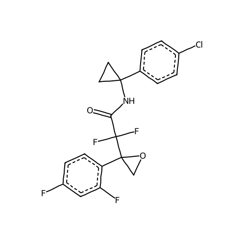 O=C(NC1(c2ccc(Cl)cc2)CC1)C(F)(F)C1(c2ccc(F)cc2F)CO1